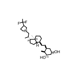 C=C1C(=CC=C2CCC[C@]3(C)[C@@H](C(C)CN4CCC(C(C)(F)F)C4)CC[C@@H]23)C[C@@H](O)C[C@@H]1O